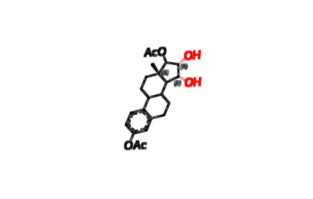 CC(=O)Oc1ccc2c(c1)CCC1C2CC[C@@]2(C)C1[C@@H](O)[C@@H](O)C2OC(C)=O